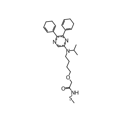 CSNC(=O)COCCCCN(c1cnc(C2=CCCC=C2)c(C2=CCCC=C2)n1)C(C)C